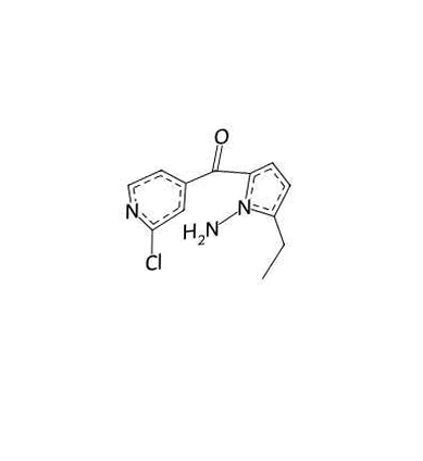 CCc1ccc(C(=O)c2ccnc(Cl)c2)n1N